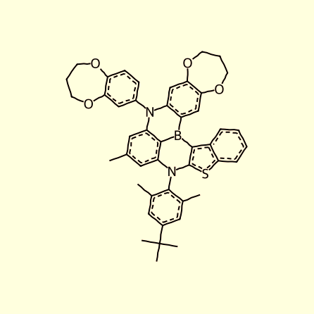 Cc1cc2c3c(c1)N(c1c(C)cc(C(C)(C)C)cc1C)c1sc4ccccc4c1B3c1cc3c(cc1N2c1ccc2c(c1)OCCCO2)OCCCO3